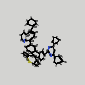 c1ccc(-c2cc(-c3ccccc3)nc(-c3ccc4c(c3)-c3cc(-c5ccc(-c6ccccc6)c6cccnc56)ccc3C43c4ccccc4Sc4ccccc43)n2)cc1